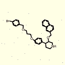 Brc1ccc(COCCCOc2ccc(C3CCNCC3OCc3ccc4ccccc4c3)cc2)cc1